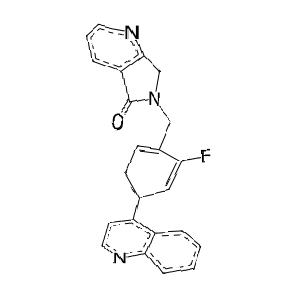 O=C1c2cccnc2CN1CC1=CCC(c2ccnc3ccccc23)C=C1F